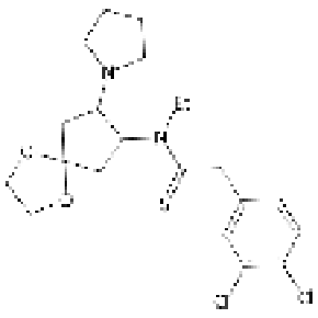 CCN(C(=S)Cc1ccc(Cl)c(Cl)c1)C1CC2(CC1N1CCCC1)OCCO2